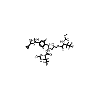 COC(=O)NC(C(=O)NC[C@@H](O)CN(Cc1c(F)cc(C(=N)SC(=N)C2CC2)cc1F)NC(=O)[C@@H](NC(=O)OC)C(C)(C)C(F)(F)F)C(C)(C)C(F)(F)F